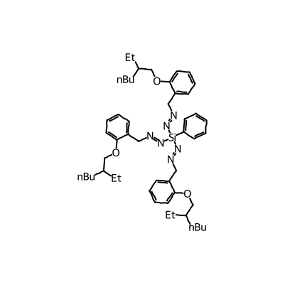 CCCCC(CC)COc1ccccc1CN=N[Si](N=NCc1ccccc1OCC(CC)CCCC)(N=NCc1ccccc1OCC(CC)CCCC)c1ccccc1